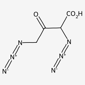 [N-]=[N+]=NCC(=O)C(N=[N+]=[N-])C(=O)O